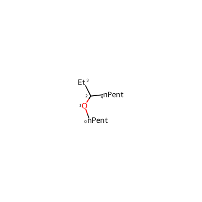 CCCCCOC(CC)CCCCC